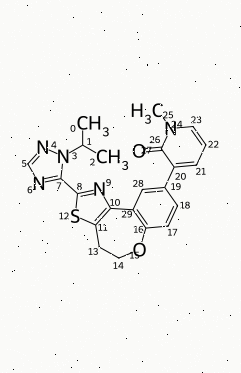 CC(C)n1ncnc1-c1nc2c(s1)CCOc1ccc(-c3cccn(C)c3=O)cc1-2